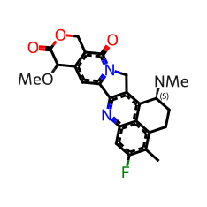 CN[C@H]1CCc2c(C)c(F)cc3nc4c(c1c23)Cn1c-4cc2c(c1=O)COC(=O)C2OC